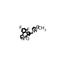 COc1ccn(CC2CC3(C(=O)N4N=CCC4c4cc(F)cc(F)c4)CC2C3)n1